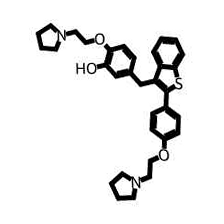 Oc1cc(Cc2c(-c3ccc(OCCN4CCCC4)cc3)sc3ccccc23)ccc1OCCN1CCCC1